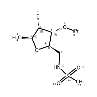 CC(C)O[C@H]1[C@@H](F)[C@H](C)O[C@@H]1CNS(C)(=O)=O